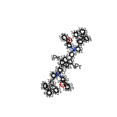 CC(C)c1cc(-c2ccc(N(c3cccc(-c4ccc([Si](c5ccccc5)(c5ccccc5)c5ccccc5)cc4)c3)c3ccc4c(c3)oc3ccccc34)cc2)c2ccc3c(C(C)C)cc(-c4ccc(N(c5cccc(C6C=CC([Si](c7ccccc7)(c7ccccc7)c7ccccc7)=CC6)c5)c5ccc6c(c5)oc5ccccc56)cc4)c4ccc1c2c43